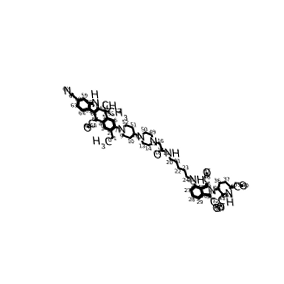 CCc1cc2c(cc1N1CCC(N3CCN(CC(=O)NCCCCCNc4cccc5c(=C=O)n(C6CCC(=C=O)NC6=C=O)c(=C=O)c45)CC3)CC1)C(C)(C)c1[nH]c3cc(C#N)ccc3c1C2=C=O